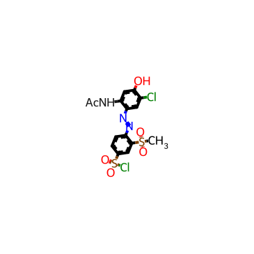 CC(=O)Nc1cc(O)c(Cl)cc1/N=N/c1ccc(S(=O)(=O)Cl)cc1S(C)(=O)=O